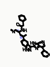 C=N/C=C(\C=C(/C)c1ccc2[nH]nc(-c3nc4c(-c5cccnc5)cncc4[nH]3)c2c1)NC(=O)Cc1ccccc1